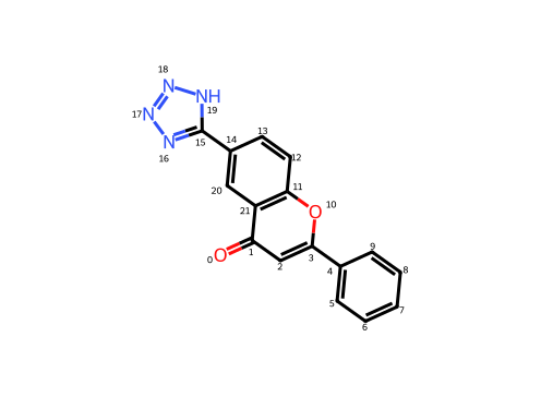 O=c1cc(-c2ccccc2)oc2ccc(-c3nnn[nH]3)cc12